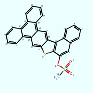 O=S(=O)(Oc1cc2ccccc2c2c1sc1cc3c4ccccc4c4ccccc4c3cc12)C(F)(F)F